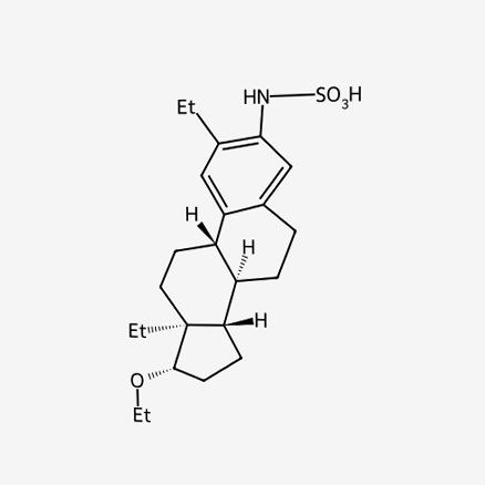 CCO[C@H]1CC[C@H]2[C@@H]3CCc4cc(NS(=O)(=O)O)c(CC)cc4[C@H]3CC[C@]12CC